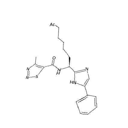 CC(=O)CCCCC[C@H](NC(=O)c1snnc1C)c1ncc(-c2ccccc2)[nH]1